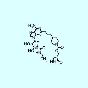 CCNC(=O)[C@H]1O[C@@H](n2cnc3c(N)nc(CCCC4CCN(C(=O)OCC5CNC5=O)CC4)nc32)[C@@H](O)C1O